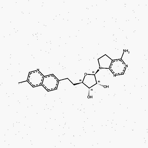 Cc1cnc2cc(CC[C@H]3O[C@@H](N4CCc5c(N)ncnc54)[C@H](O)[C@@H]3O)ccc2c1